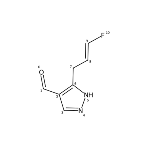 O=Cc1cn[nH]c1CC=CF